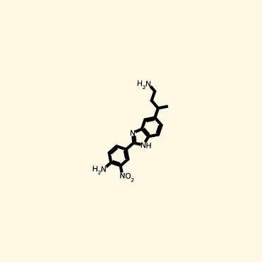 CC(CCN)c1ccc2[nH]c(-c3ccc(N)c([N+](=O)[O-])c3)nc2c1